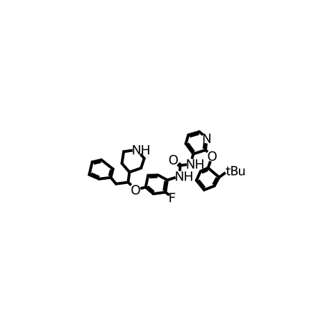 CC(C)(C)c1ccccc1Oc1ncccc1NC(=O)Nc1ccc(OC(Cc2ccccc2)C2CCNCC2)cc1F